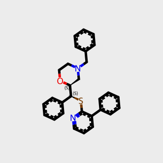 c1ccc(CN2CCO[C@H]([C@@H](Sc3ncccc3-c3ccccc3)c3ccccc3)C2)cc1